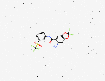 Nc1cc2c(cc1C(=O)Nc1cccc(S(=O)(=O)C(F)(F)F)c1)OC(F)(F)O2